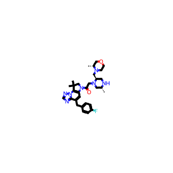 C[C@@H]1CN(CC(=O)N2CC(C)(C)c3c2cc(Cc2ccc(F)cc2)c2ncnn32)[C@@H](CN2CCOC[C@H]2C)CN1